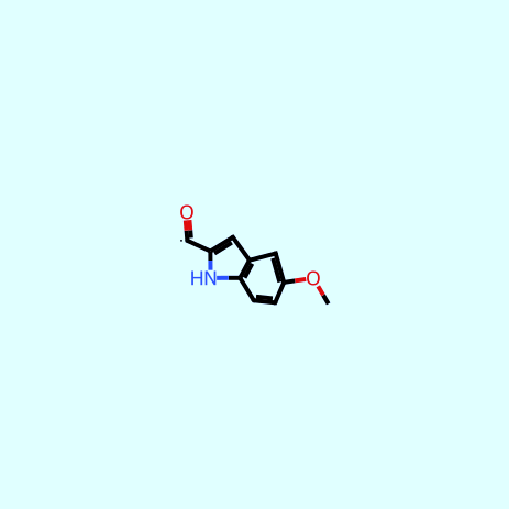 COc1ccc2[nH]c([C]=O)cc2c1